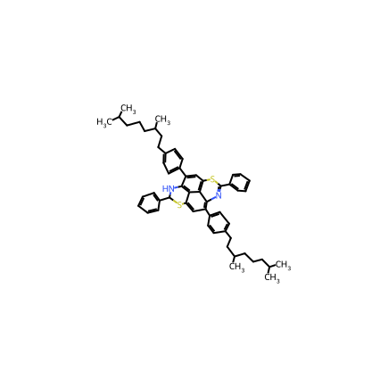 CC(C)CCCC(C)CCc1ccc(-c2cc3c4c(c(-c5ccc(CCC(C)CCCC(C)C)cc5)cc5c4c2N=C(c2ccccc2)S5)NC(c2ccccc2)S3)cc1